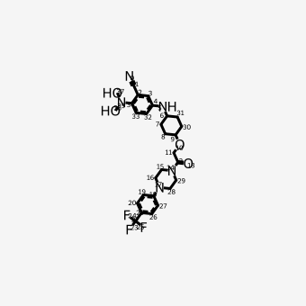 N#Cc1cc(NC2CCC(OCC(=O)N3CCN(c4ccc(C(F)(F)F)cc4)CC3)CC2)ccc1N(O)O